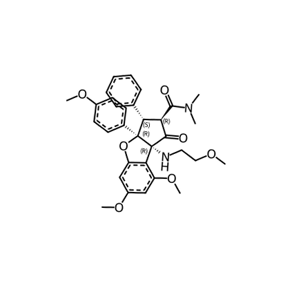 COCCN[C@@]12C(=O)[C@H](C(=O)N(C)C)[C@@H](c3ccccc3)[C@]1(c1ccc(OC)cc1)Oc1cc(OC)cc(OC)c12